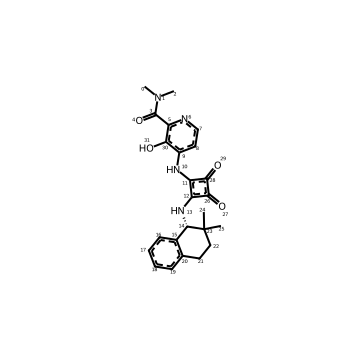 CN(C)C(=O)c1nccc(Nc2c(N[C@H]3c4ccccc4CCC3(C)C)c(=O)c2=O)c1O